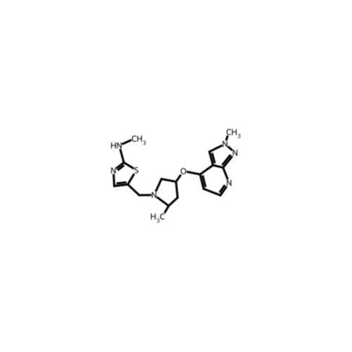 CNc1ncc(CN2CC(Oc3ccnc4nn(C)cc34)CC2C)s1